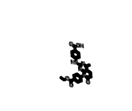 CCOC(=O)c1ccc(-n2c(=O)ccc3c(C)nc(Nc4ccc(C(=O)O)cc4)nc32)cc1